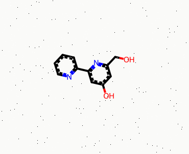 OCc1cc(O)cc(-c2ccccn2)n1